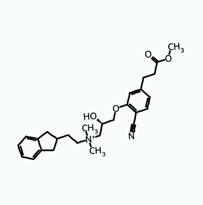 COC(=O)CCc1ccc(C#N)c(OC[C@H](O)C[N+](C)(C)CCC2Cc3ccccc3C2)c1